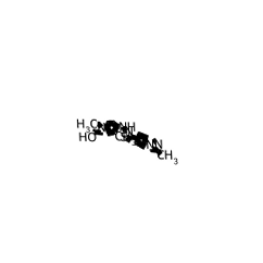 CCN(CCO)c1ccc(Nc2nc(-c3ccc(-n4cnc(C)c4)cc3)cs2)c(C)c1